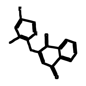 Cc1cc(F)cnc1CC1=CC(=O)c2ccccc2C1=O